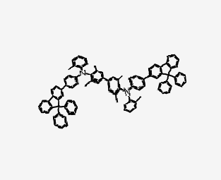 Cc1ccccc1N(c1ccc(-c2ccc3c(c2)C(c2ccccc2)(c2ccccc2)c2ccccc2-3)cc1)c1c(C)cc(-c2cc(C)c(N(c3ccc(-c4ccc5c(c4)C(c4ccccc4)(c4ccccc4)c4ccccc4-5)cc3)c3ccccc3C)c(C)c2)cc1C